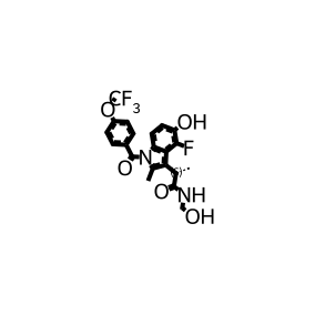 Cc1c([C@H](C)C(=O)NCO)c2c(F)c(O)ccc2n1C(=O)c1ccc(OC(F)(F)F)cc1